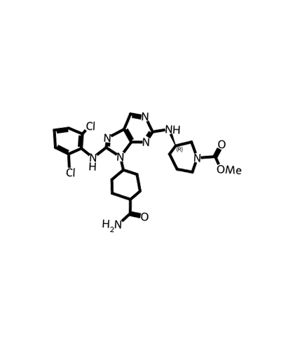 COC(=O)N1CCC[C@@H](Nc2ncc3nc(Nc4c(Cl)cccc4Cl)n(C4CCC(C(N)=O)CC4)c3n2)C1